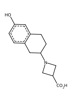 O=C(O)C1CN(C2CCc3cc(O)ccc3C2)C1